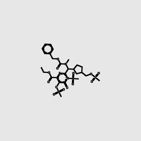 CCOC(=O)c1nc(C(C2CCC(COS(C)(=O)=O)C2)N(C)C(=O)OCc2ccccc2)n(S(C)(=O)=O)c(=O)c1OS(C)(=O)=O